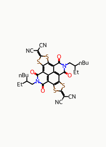 CCCCC(CC)Cn1c(=O)c2c3sc(=C(C#N)C#N)sc3c3c(=O)n(CC(CC)CCCC)c(=O)c4c5sc(=C(C#N)C#N)sc5c(c1=O)c2c34